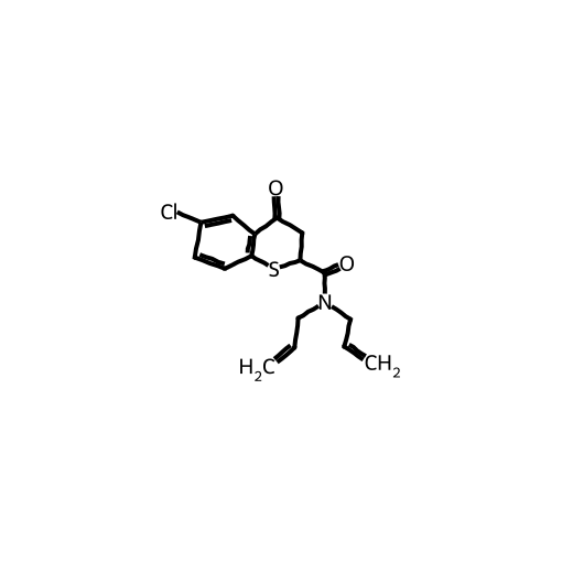 C=CCN(CC=C)C(=O)C1CC(=O)c2cc(Cl)ccc2S1